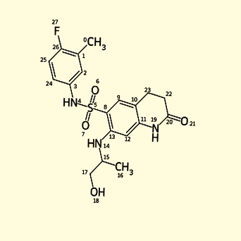 Cc1cc(NS(=O)(=O)c2cc3c(cc2NC(C)CO)NC(=O)CC3)ccc1F